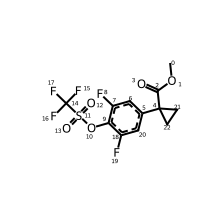 COC(=O)C1(c2cc(F)c(OS(=O)(=O)C(F)(F)F)c(F)c2)CC1